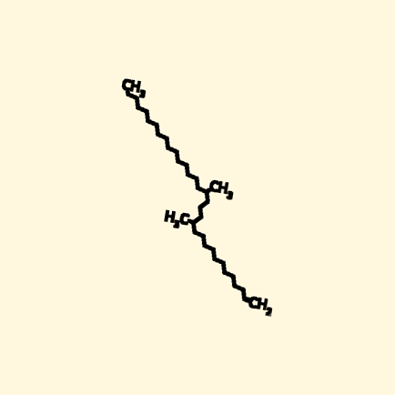 C=CCCCCCCCCCCC(C)CCCC(C)CCCCCCCCCCCCCCCC